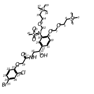 C[Si](C)(C)CCOCOc1ccc([C@H](O)CNC(=O)COc2ccc(Br)cc2Cl)cc1N(COCC[Si](C)(C)C)S(C)(=O)=O